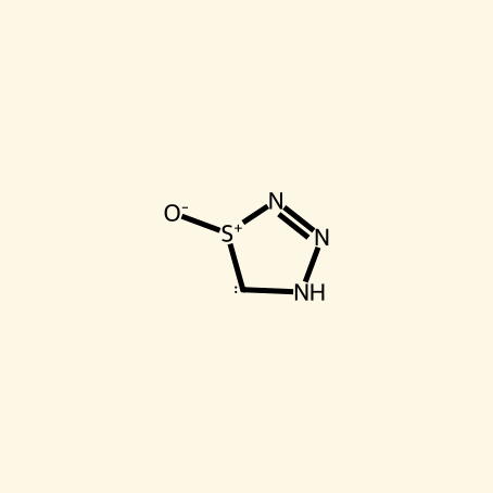 [O-][S+]1[C]NN=N1